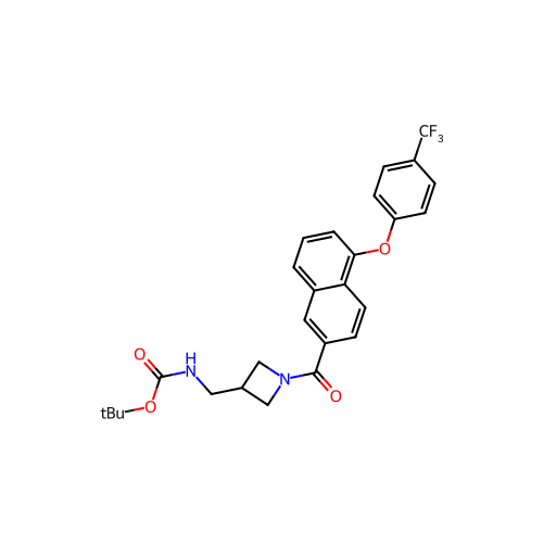 CC(C)(C)OC(=O)NCC1CN(C(=O)c2ccc3c(Oc4ccc(C(F)(F)F)cc4)cccc3c2)C1